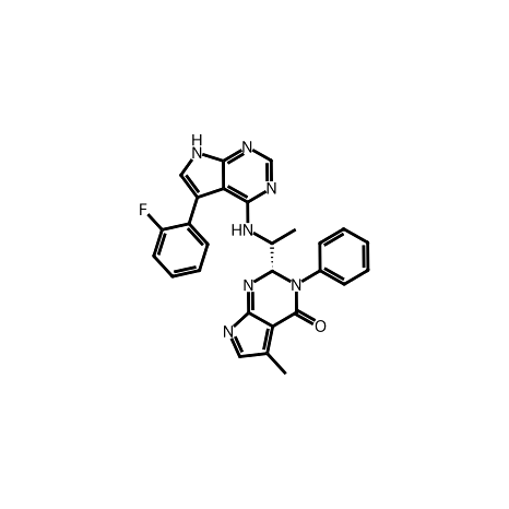 CC1=C2C(=O)N(c3ccccc3)[C@@H](C(C)Nc3ncnc4[nH]cc(-c5ccccc5F)c34)N=C2N=C1